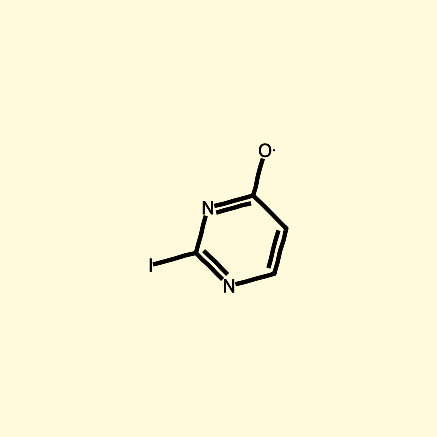 [O]c1ccnc(I)n1